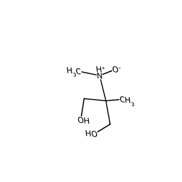 C[NH+]([O-])C(C)(CO)CO